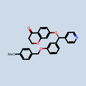 COc1ccc(COc2cccc([C@@H](Oc3ccc4c(c3)OCCC4=O)c3ccncc3)c2)cc1